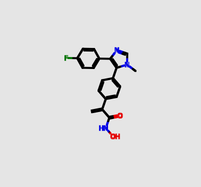 C=C(C(=O)NO)c1ccc(-c2c(-c3ccc(F)cc3)ncn2C)cc1